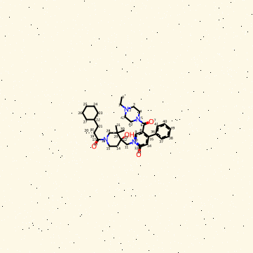 CCN1CCN(C(=O)c2cn(CC3(O)CCN(C(=O)[C@H](C)CC4CCCCC4)CC3(C)C)c(=O)cc2-c2ccccc2)CC1